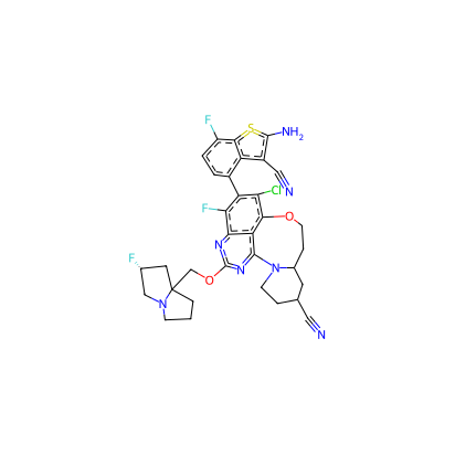 N#Cc1c(N)sc2c(F)ccc(-c3c(Cl)c4c5c(nc(OCC67CCCN6C[C@H](F)C7)nc5c3F)N3CCC(C#N)CC3CCO4)c12